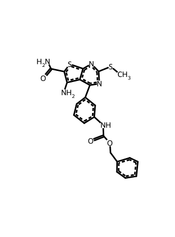 CSc1nc(-c2cccc(NC(=O)OCc3ccccc3)c2)c2c(N)c(C(N)=O)sc2n1